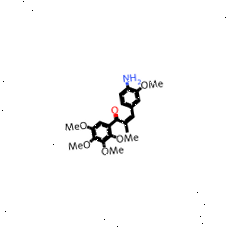 COc1cc(C=C(C)C(=O)c2cc(OC)c(OC)c(OC)c2OC)ccc1N